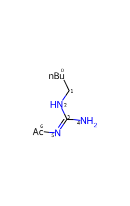 CCCCCN/C(N)=N\C(C)=O